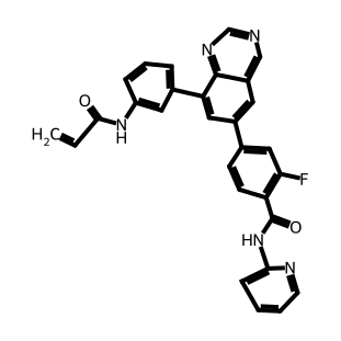 C=CC(=O)Nc1cccc(-c2cc(-c3ccc(C(=O)Nc4ccccn4)c(F)c3)cc3cncnc23)c1